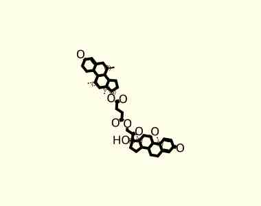 C[C@@H]1CC2=CC(=O)CCC2C2C1C1CC[C@H](OC(=O)CCC(=O)OCC(=O)[C@@]3(O)CCC4C5CCC6=CC(=O)C=C[C@]6(C)C5C(=O)C[C@@]43C)[C@@]1(C)C[C@@H]2C